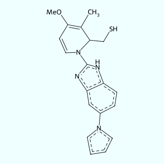 COC1=C(C)C(CS)N(c2nc3cc(-n4cccc4)ccc3[nH]2)C=C1